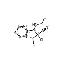 CCNN(c1ncncn1)C(Cl)(C#N)CC